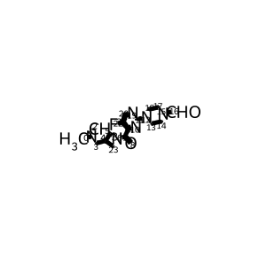 CN(C)CC1CN(C(=O)c2nc(N3CCN(C=O)CC3)ncc2F)C1